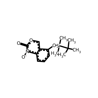 CC(C)(C)[Si](C)(C)Oc1cccc2c1coc(=O)[n+]2[O-]